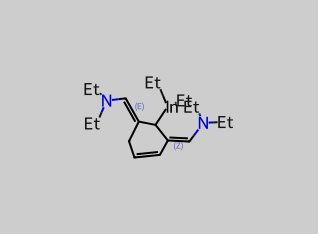 CCN(/C=C1/C=CC/C(=C\N(CC)CC)[CH]1[In]([CH2]C)[CH2]C)CC